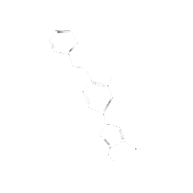 CCCCc1cn(-c2cc(C(=O)OCC)c(OCc3ccccc3)cn2)cc1C#N